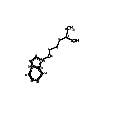 CC(O)CCCOn1ccc2ccccc21